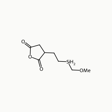 COC[SiH2]CCC1CC(=O)OC1=O